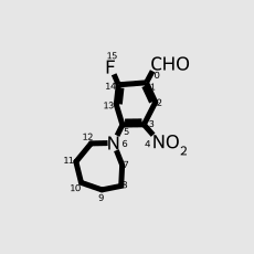 O=Cc1cc([N+](=O)[O-])c(N2CCCCCC2)cc1F